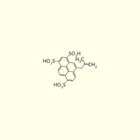 C=C(C)Cc1cc2c(S(=O)(=O)O)cc(S(=O)(=O)O)c3ccc4c(S(=O)(=O)O)ccc1c4c32